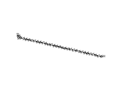 COOS(=S)(=S)SSSSSSSSSSSSSSSSSSSSSSSSSSSSSSSSSSSSSSSSSSSSSSSSSSSSSSSSSSSS